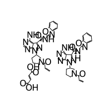 C=CC(=O)N1CCCC(n2nc(C(=O)Nc3nc4ccccc4o3)c3c(N)ncnc32)C1.C=CC(=O)N1CCCC(n2nc(C(=O)Nc3nc4ccccc4o3)c3c(N)ncnc32)C1.O=C(O)C=CC(=O)O